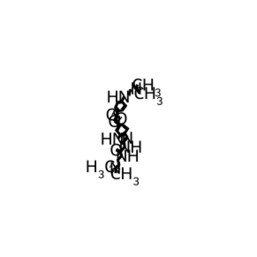 CN(C)CCNC(=O)Nc1nc2ccc(OS(=O)(=O)c3ccc(NCCN(C)C)cc3)cc2[nH]1